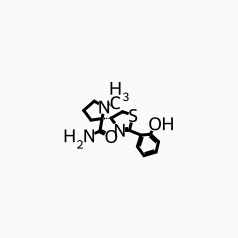 CN1CCCC1(C(N)=O)[C@@H]1CSC(c2ccccc2O)=N1